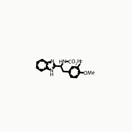 COc1ccc(CC(NC(=O)O)c2nc3ccccc3[nH]2)cc1F